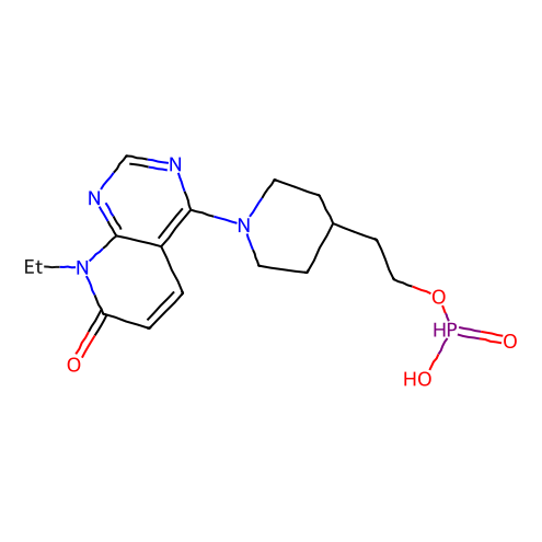 CCn1c(=O)ccc2c(N3CCC(CCO[PH](=O)O)CC3)ncnc21